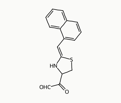 O=CC(=O)C1CSC(=Cc2cccc3ccccc23)N1